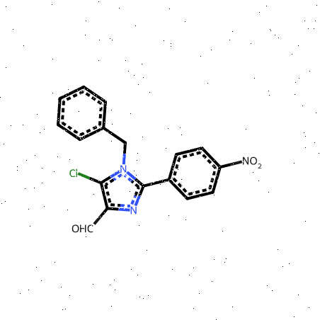 O=Cc1nc(-c2ccc([N+](=O)[O-])cc2)n(Cc2ccccc2)c1Cl